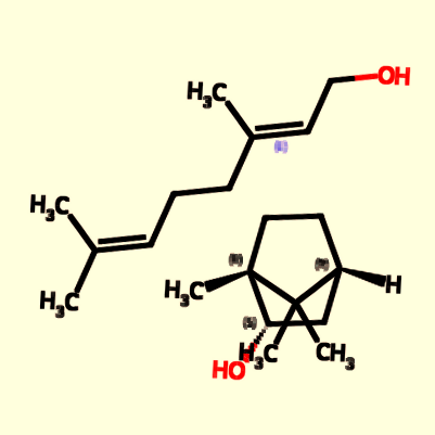 CC(C)=CCC/C(C)=C/CO.CC1(C)[C@@H]2CC[C@@]1(C)[C@@H](O)C2